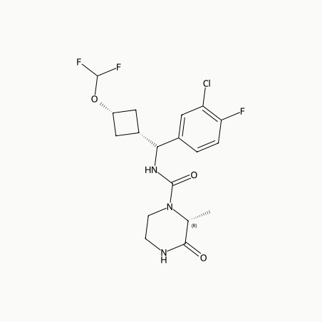 C[C@@H]1C(=O)NCCN1C(=O)NC(c1ccc(F)c(Cl)c1)[C@H]1C[C@@H](OC(F)F)C1